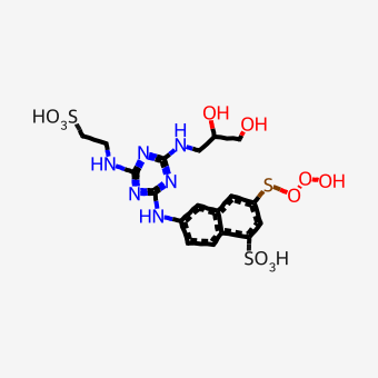 O=S(=O)(O)CCNc1nc(NCC(O)CO)nc(Nc2ccc3c(S(=O)(=O)O)cc(SOOO)cc3c2)n1